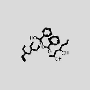 C=CC(CC)CC(CC)CC.CCCC(O)CC(C)O.O=C(O)c1ccccc1.O=C(O)c1ccccc1